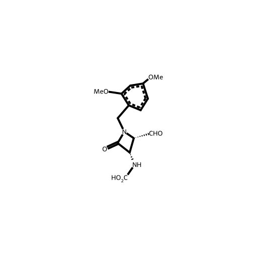 COc1ccc(CN2C(=O)[C@@H](NC(=O)O)[C@H]2C=O)c(OC)c1